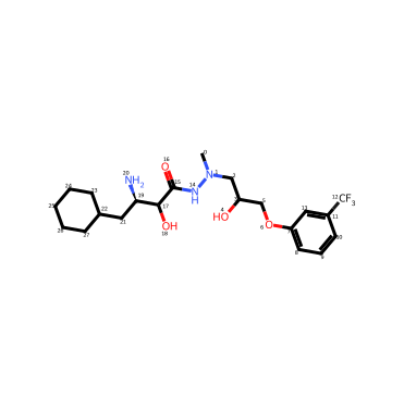 CN(CC(O)COc1cccc(C(F)(F)F)c1)NC(=O)C(O)[C@H](N)CC1CCCCC1